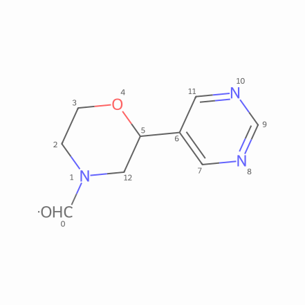 O=[C]N1CCOC(c2cncnc2)C1